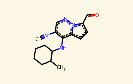 [C-]#[N+]c1cnn2c(C=O)ccc2c1NC1CCCCC1C